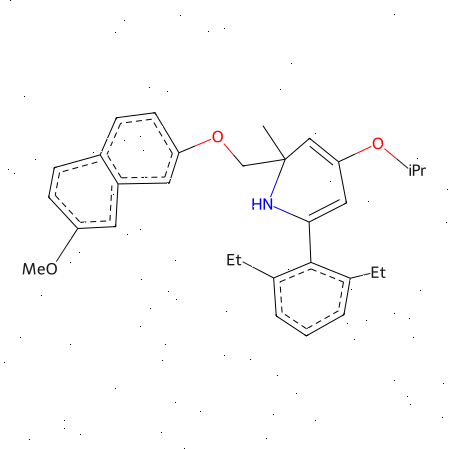 CCc1cccc(CC)c1C1=CC(OC(C)C)=CC(C)(COc2ccc3ccc(OC)cc3c2)N1